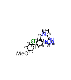 COC1CCC(Cl)(c2ccc3c(c2)CN(C)Cc2nncn2-3)CC1